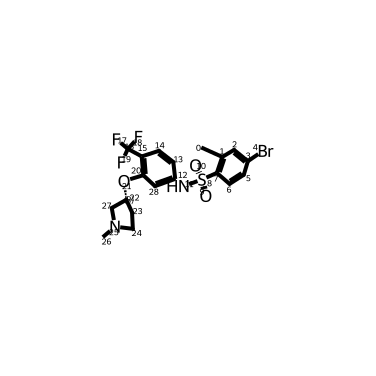 Cc1cc(Br)ccc1S(=O)(=O)Nc1ccc(C(F)(F)F)c(O[C@@H]2CCN(C)C2)c1